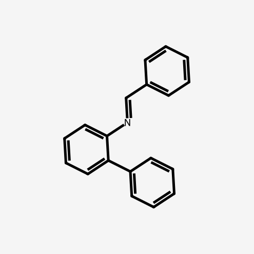 C(=Nc1ccccc1-c1ccccc1)c1ccccc1